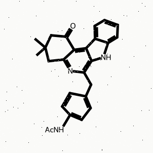 CC(=O)Nc1ccc(Cc2nc3c(c4c2[nH]c2ccccc24)C(=O)CC(C)(C)C3)cc1